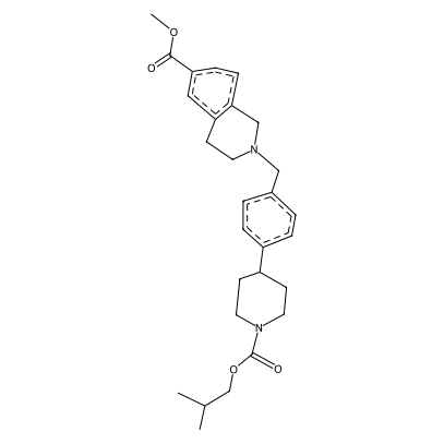 COC(=O)c1ccc2c(c1)CCN(Cc1ccc(C3CCN(C(=O)OCC(C)C)CC3)cc1)C2